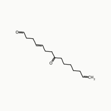 C=CCCCCCC(=O)CCC=CCCC=O